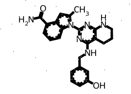 Cc1cc2c(C(N)=O)cccc2n1-c1nc2c(c(NCc3cccc(O)c3)n1)CCCN2